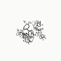 COc1cc(F)c(O[C@H]2CC[C@@](C)(C(=O)NNC(=O)OC(C)(C)C)CC2)cc1C(=O)N[C@@H]1[C@H]2CC[C@H](C2)[C@@H]1C(=O)NCC1(C)CCC1